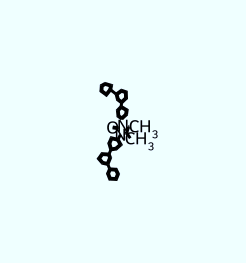 CC1C(C)N(c2ccc(-c3cccc(-c4ccccc4)c3)cc2)C(=O)N1c1ccc(-c2cccc(-c3ccccc3)c2)cc1